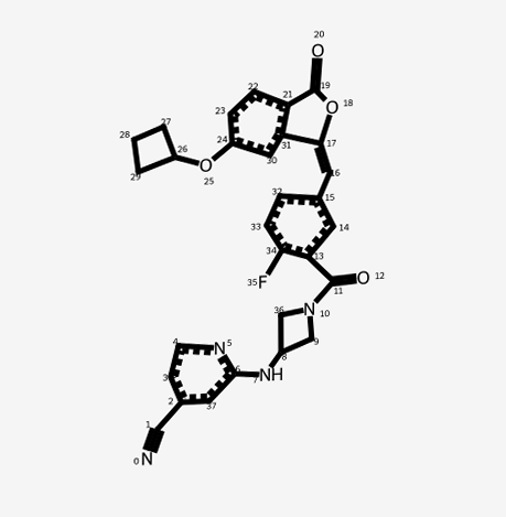 N#Cc1ccnc(NC2CN(C(=O)c3cc(/C=C4/OC(=O)c5ccc(OC6CCC6)cc54)ccc3F)C2)c1